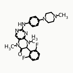 CN1CCN(c2ccc(Nc3ncc4c(n3)N(C)C(c3c(F)cccc3F)C(=O)N4C)cc2)CC1